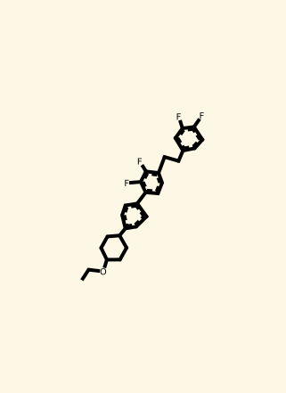 CCOC1CCC(c2ccc(-c3ccc(CCc4ccc(F)c(F)c4)c(F)c3F)cc2)CC1